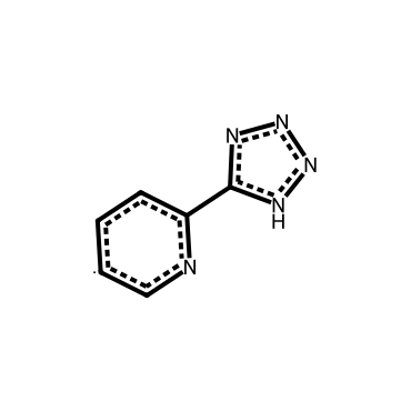 [c]1ccc(-c2nnn[nH]2)nc1